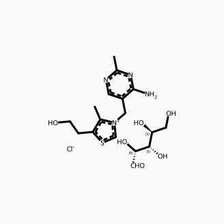 Cc1ncc(C[n+]2csc(CCO)c2C)c(N)n1.O=C[C@H](O)[C@@H](O)[C@@H](O)CO.[Cl-]